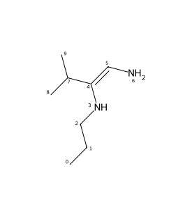 CCCN/C(=C\N)C(C)C